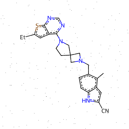 CCc1cc2c(N3CCC4(CN(Cc5ccc6[nH]c(C#N)cc6c5C)C4)C3)ncnc2s1